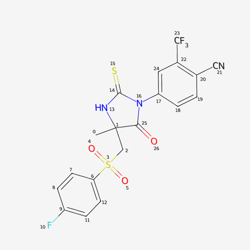 CC1(CS(=O)(=O)c2ccc(F)cc2)NC(=S)N(c2ccc(C#N)c(C(F)(F)F)c2)C1=O